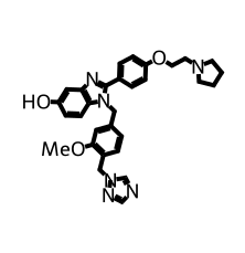 COc1cc(Cn2c(-c3ccc(OCCN4CCCC4)cc3)nc3cc(O)ccc32)ccc1Cn1cncn1